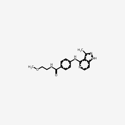 COCCNC(=O)c1ccc(Nc2nccc3[nH]nc(C)c23)cc1